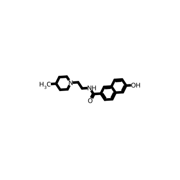 CC1CCN(CCNC(=O)c2ccc3cc(O)ccc3c2)CC1